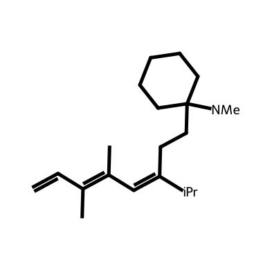 C=C/C(C)=C(C)/C=C(\CCC1(NC)CCCCC1)C(C)C